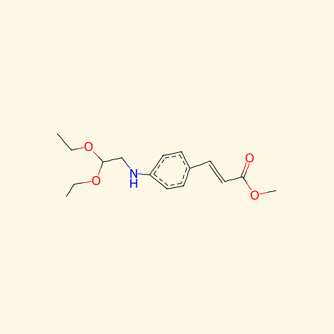 CCOC(CNc1ccc(/C=C/C(=O)OC)cc1)OCC